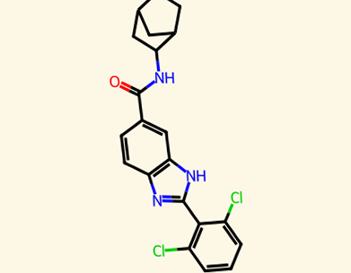 O=C(NC1CC2CCC1C2)c1ccc2nc(-c3c(Cl)cccc3Cl)[nH]c2c1